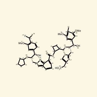 COc1cc([C@@H](O)[C@H](Cn2cc3cccc(C(=O)OC4CCC4CO[C@@H](Cc4nc(CC(=O)O)cs4)[C@H](O)c4cc(OC)c(C)c(OC)c4)c3n2)OC2CCCC2)ccc1C(F)F